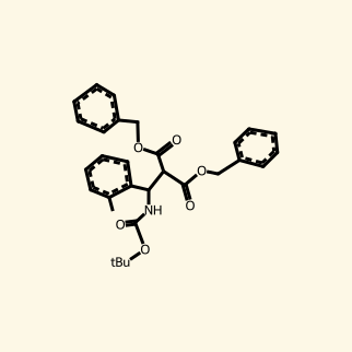 Cc1ccccc1C(NC(=O)OC(C)(C)C)C(C(=O)OCc1ccccc1)C(=O)OCc1ccccc1